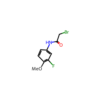 COc1ccc(NC(=O)CBr)cc1F